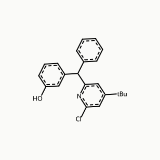 CC(C)(C)c1cc(Cl)nc(C(c2ccccc2)c2cccc(O)c2)c1